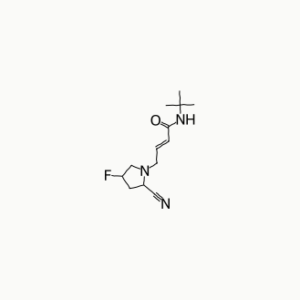 CC(C)(C)NC(=O)/C=C/CN1CC(F)CC1C#N